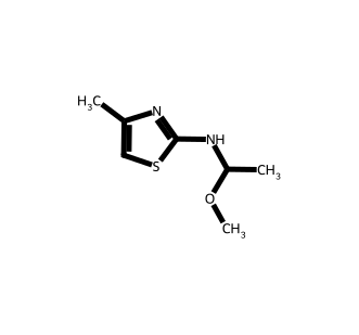 COC(C)Nc1nc(C)cs1